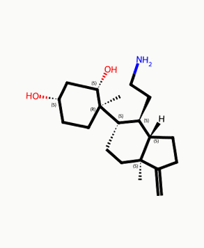 C=C1CC[C@H]2[C@H](CCN)[C@@H]([C@@]3(C)CC[C@H](O)C[C@@H]3O)CC[C@]12C